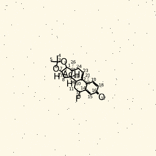 CC(=O)[C@@]12OC(C)(C)O[C@@H]1C[C@H]1[C@@H]3C[C@H](F)C4=CC(=O)C=C[C@]4(C)C3=CC[C@@]12C